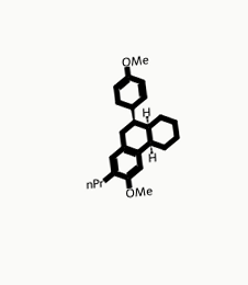 CCCc1cc2c(cc1OC)[C@@H]1CCCC[C@@H]1[C@H](C1C=CC(OC)=CC1)C2